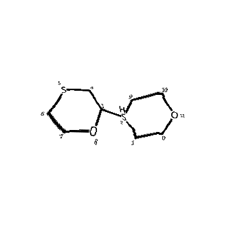 C1C[SH](C2CSCCO2)CCO1